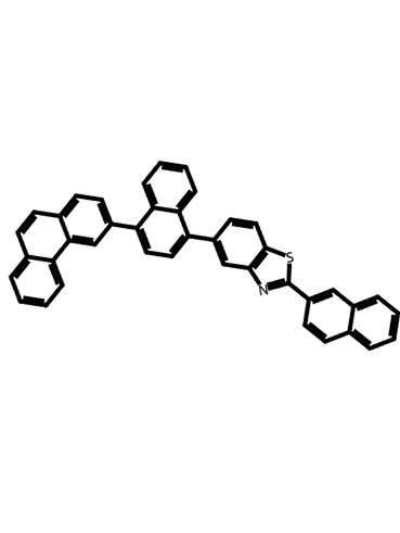 c1ccc2cc(-c3nc4cc(-c5ccc(-c6ccc7ccc8ccccc8c7c6)c6ccccc56)ccc4s3)ccc2c1